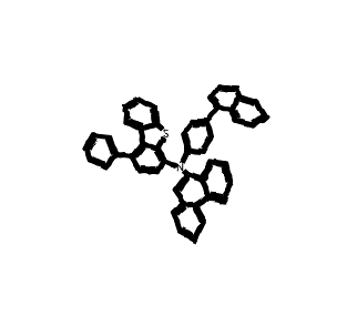 c1ccc(-c2ccc(N(c3ccc(-c4cccc5ccccc45)cc3)c3cc4ccccc4c4ccccc34)c3sc4ccccc4c23)cc1